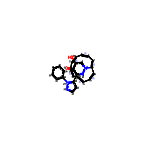 O=c1c(O)cn(C2=C\C=C/C=C\C=C/C=C/C=C\2)nc1-c1ccnn1-c1ccccc1